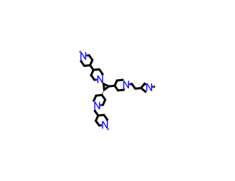 CN1CCC(CN2CCC([C@H]3C(C4CCN(CCC5CN(C)C5)CC4)[C@@H]3N3CCC(C4CCN(C)CC4)CC3)CC2)CC1